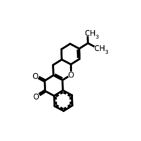 CC(C)C1=CC2OC3=C(CC2CC1)C(=O)C(=O)c1ccccc13